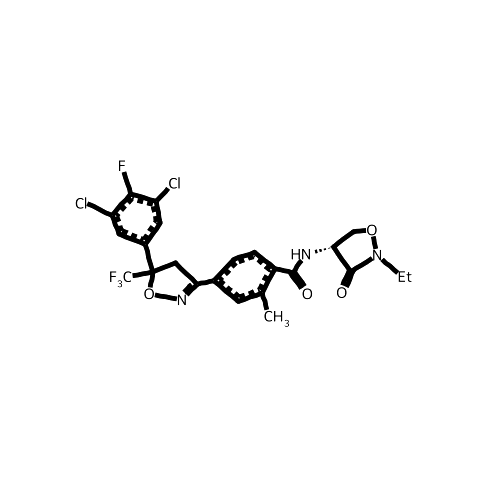 CCN1OC[C@@H](NC(=O)c2ccc(C3=NOC(c4cc(Cl)c(F)c(Cl)c4)(C(F)(F)F)C3)cc2C)C1=O